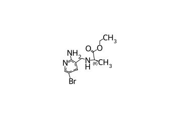 CCOC(=O)[C@@H](C)NCc1cc(Br)cnc1N